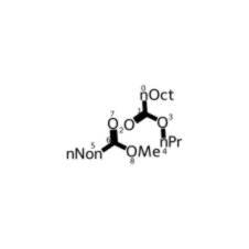 CCCCCCCCC(=O)OCCC.CCCCCCCCCC(=O)OC